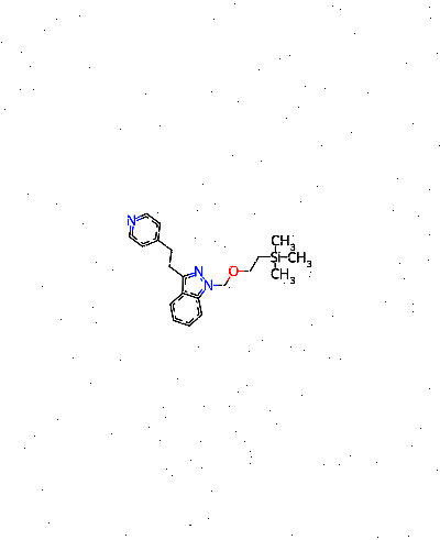 C[Si](C)(C)CCOCn1nc(CCc2ccncc2)c2ccccc21